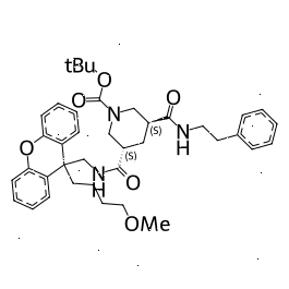 COCCCCC1(CNC(=O)[C@H]2C[C@H](C(=O)NCCc3ccccc3)CN(C(=O)OC(C)(C)C)C2)c2ccccc2Oc2ccccc21